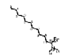 CCCCCCCCCCCC(Br)N(C)C